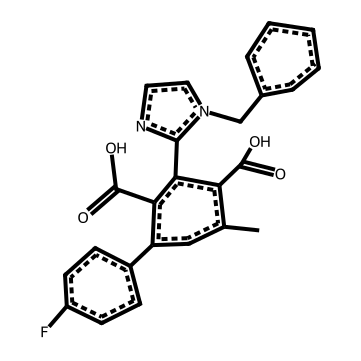 Cc1cc(-c2ccc(F)cc2)c(C(=O)O)c(-c2nccn2Cc2ccccc2)c1C(=O)O